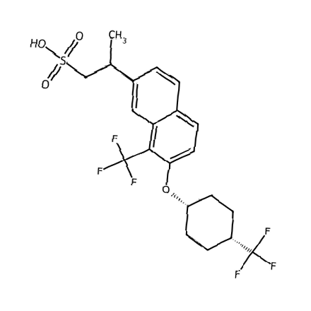 CC(CS(=O)(=O)O)c1ccc2ccc(O[C@H]3CC[C@@H](C(F)(F)F)CC3)c(C(F)(F)F)c2c1